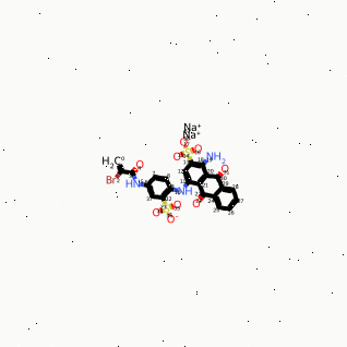 C=C(Br)C(=O)Nc1ccc(Nc2cc(S(=O)(=O)[O-])c(N)c3c2C(=O)c2ccccc2C3=O)c(S(=O)(=O)[O-])c1.[Na+].[Na+]